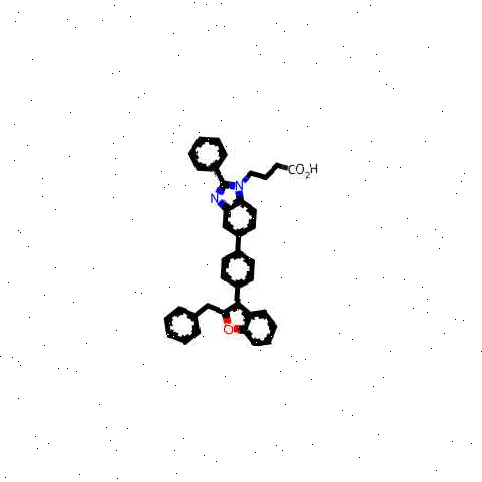 O=C(O)CCCn1c(-c2ccccc2)nc2cc(-c3ccc(-c4c(Cc5ccccc5)oc5ccccc45)cc3)ccc21